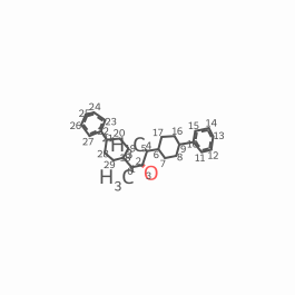 CC(C(=O)C(C)C1CCC(c2ccccc2)CC1)C1CCC(c2ccccc2)CC1